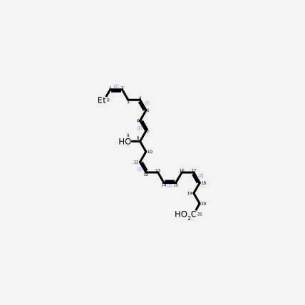 CC/C=C\C/C=C\C=C\C(O)C/C=C\C/C=C\C/C=C\CCC(=O)O